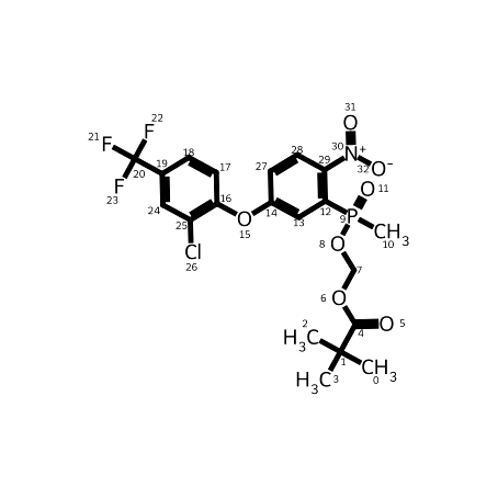 CC(C)(C)C(=O)OCOP(C)(=O)c1cc(Oc2ccc(C(F)(F)F)cc2Cl)ccc1[N+](=O)[O-]